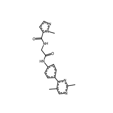 Cc1ncc(C)c(-c2ccc(NC(=O)CNC(=O)c3ccnn3C)cc2)n1